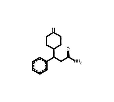 NC(=O)CC(c1ccccc1)C1CCNCC1